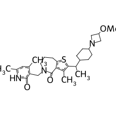 COC1CN(C2CCC(C(C)c3sc4c(c3C)C(=O)N(Cc3c(C)cc(C)[nH]c3=O)CCC4)CC2)C1